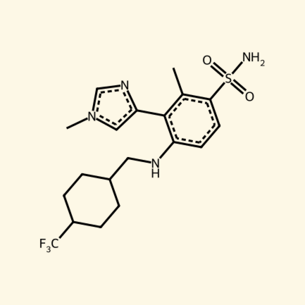 Cc1c(S(N)(=O)=O)ccc(NCC2CCC(C(F)(F)F)CC2)c1-c1cn(C)cn1